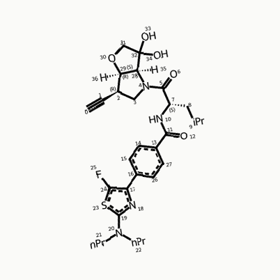 C#C[C@@H]1CN(C(=O)[C@H](CC(C)C)NC(=O)c2ccc(-c3nc(N(CCC)CCC)sc3F)cc2)[C@H]2[C@@H]1OCC2(O)O